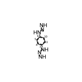 N=NNc1ccc(NN=N)cc1